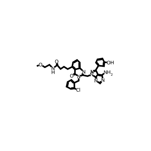 COCCNC(=O)CCCc1cccc2nc(Cn3nc(-c4cccc(O)c4)c4c(N)ncnc43)n(Cc3ccccc3Cl)c(=O)c12